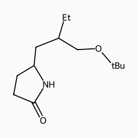 CCC(COC(C)(C)C)CC1CCC(=O)N1